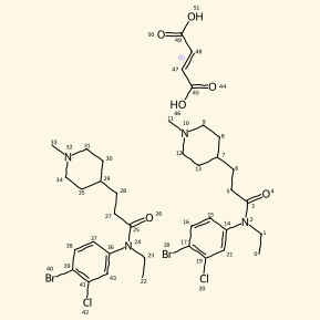 CCN(C(=O)CCC1CCN(C)CC1)c1ccc(Br)c(Cl)c1.CCN(C(=O)CCC1CCN(C)CC1)c1ccc(Br)c(Cl)c1.O=C(O)/C=C/C(=O)O